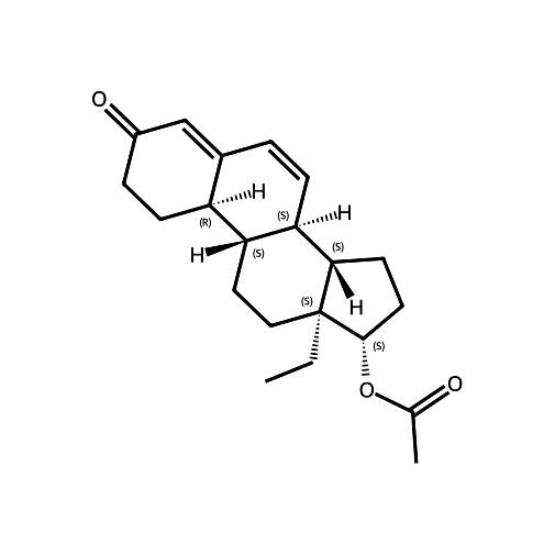 CC[C@]12CC[C@H]3[C@@H](C=CC4=CC(=O)CC[C@@H]43)[C@@H]1CC[C@@H]2OC(C)=O